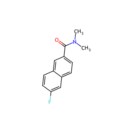 CN(C)C(=O)c1ccc2cc(F)ccc2c1